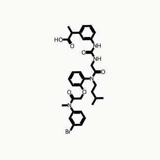 CC(C)CCN(C(=O)CNC(=O)Nc1cccc(C(C)C(=O)O)c1)c1ccccc1OCC(=O)N(C)c1cccc(Br)c1